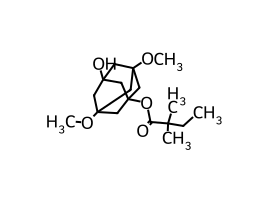 CCC(C)(C)C(=O)OC12CC3(O)CC(OC)(CC(OC)(C3)C1)C2